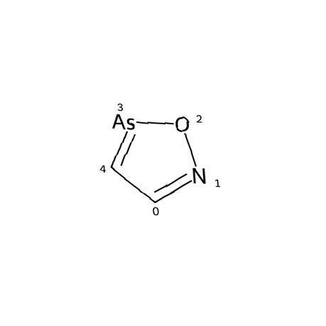 C1=NO[As]=C1